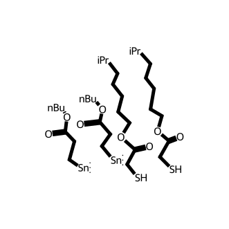 CC(C)CCCCCOC(=O)CS.CC(C)CCCCCOC(=O)CS.CCCCOC(=O)C[CH2][Sn].CCCCOC(=O)C[CH2][Sn]